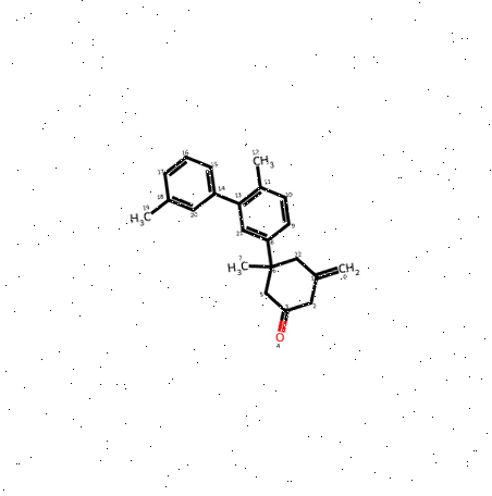 C=C1CC(=O)CC(C)(c2ccc(C)c(-c3cccc(C)c3)c2)C1